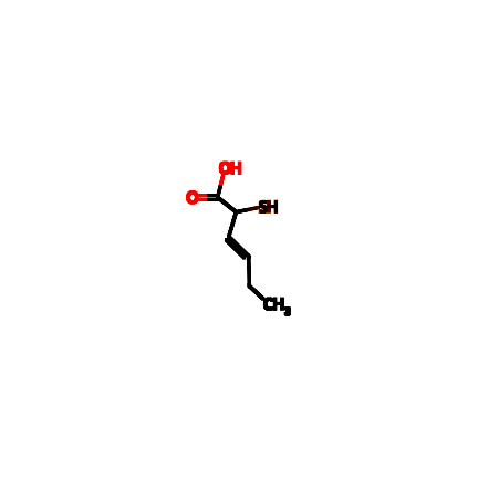 CCC=CC(S)C(=O)O